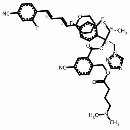 C[C@@H](S[C@H]1CO[C@H](/C=C/C=C/c2ccc(C#N)cc2F)OC1)[C@@](Cn1cncn1)(OC(=O)c1cc(C#N)ccc1COC(=O)CCCN(C)C)c1ccc(F)cc1F